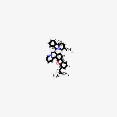 CC1=CCC2(C)c3ccccc3[C@@H](C3CN4C=CC=CC4c4c3ccc3c4oc4c(CC(C)C)cccc43)N2C1